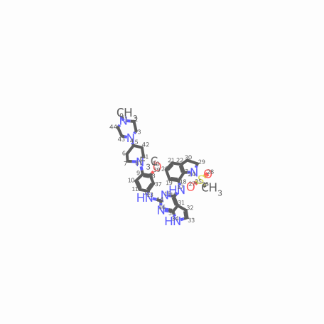 CN1CCN(C2CCN(c3ccc(Nc4nc(Nc5cccc6c5N(S(C)(=O)=O)CC6)c5cc[nH]c5n4)cc3OC(F)(F)F)CC2)CC1